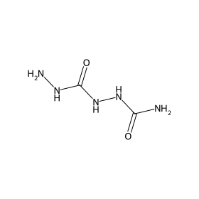 NNC(=O)NNC(N)=O